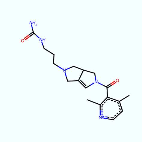 Cc1ccnc(C)c1C(=O)N1C=C2CN(CCCNC(N)=O)CC2C1